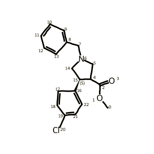 COC(=O)C1CN(Cc2ccccc2)C[C@@H]1c1ccc(Cl)cc1